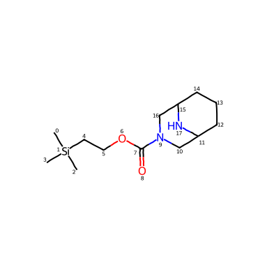 C[Si](C)(C)CCOC(=O)N1CC2CCCC(C1)N2